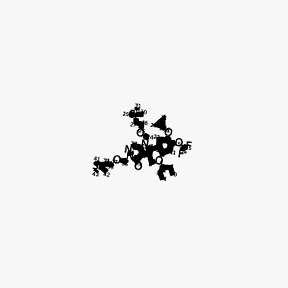 CCC(CC)OCc1c(-c2ccc(OC(F)F)c(OC3CC3)c2)n(COCC[Si](C)(C)C)c2cnn(COCC[Si](C)(C)C)c(=O)c12